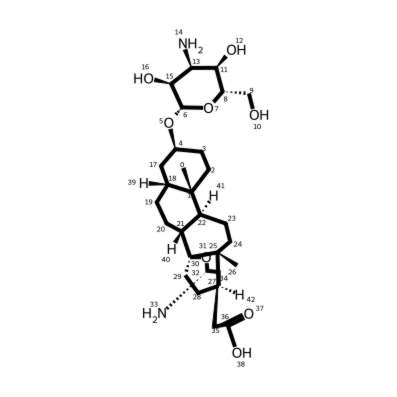 C[C@]12CC[C@H](O[C@H]3O[C@@H](CO)[C@H](O)[C@H](N)[C@@H]3O)C[C@H]1CC[C@@H]1[C@@H]2CC[C@]2(C)[C@@H]3CC[C@]12O[C@@H](N)[C@H]3CC(=O)O